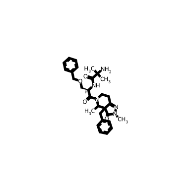 CC1N(C(=O)[C@@H](COCc2ccccc2)NC(=O)C(C)(C)N)CCC2=NN(C)C(=O)C21Cc1ccccc1